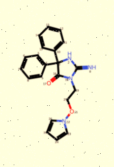 N=C1NC(c2ccccc2)(c2ccccc2)C(=O)N1CCOn1cccc1